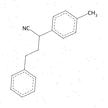 Cc1ccc(C(C#N)CCc2ccccc2)cc1